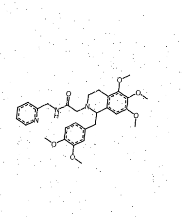 COc1ccc(CC2c3cc(OC)c(OC)c(OC)c3CCN2CC(=O)NCc2ccccn2)cc1OC